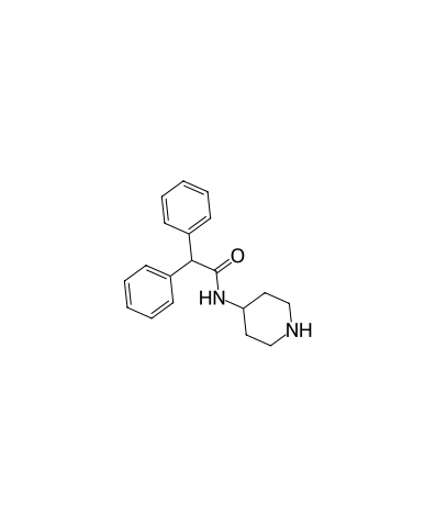 O=C(NC1CCNCC1)C(c1ccccc1)c1ccccc1